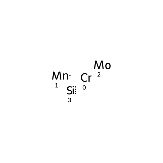 [Cr].[Mn].[Mo].[Si]